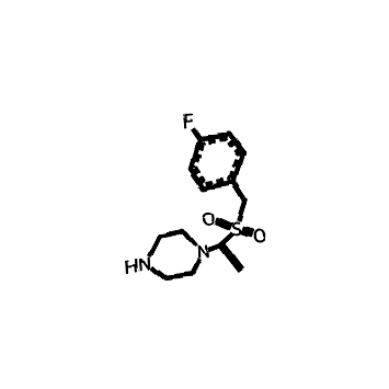 C=C(N1CCNCC1)S(=O)(=O)Cc1ccc(F)cc1